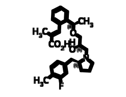 CC(=Cc1ccccc1[C@@H](C)OC[C@H](O)CN1CCC[C@H]1Cc1ccc(C)c(F)c1)C(=O)O